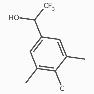 Cc1cc(C(O)C(F)(F)F)cc(C)c1Cl